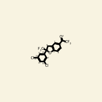 O=C(c1ccc2c(c1)CC(c1cc(Cl)cc(Cl)c1)(C(F)(F)F)O2)C(F)(F)F